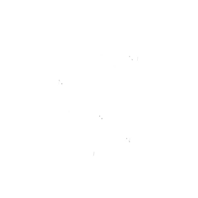 c1cc(N2CCN3CCC[C@H]3C2)c2cc3c(cc2n1)CCN3